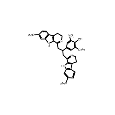 COc1ccc2c3c([nH]c2c1)C(CC(CC1=NCCc2c1[nH]c1cc(OC)ccc21)c1cc(OC)c(O)c([N+](=O)[O-])c1)=NCC3